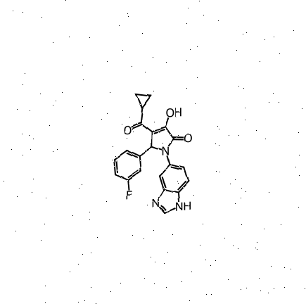 O=C(C1=C(O)C(=O)N(c2ccc3[nH]cnc3c2)C1c1cccc(F)c1)C1CC1